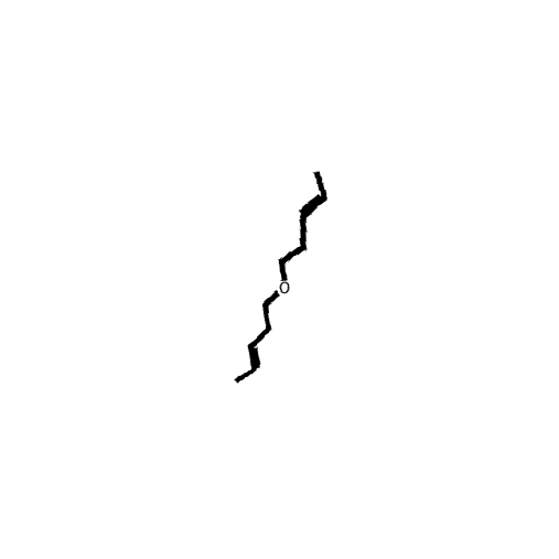 CC=CCCOCCC=CC